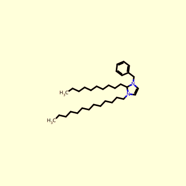 CCCCCCCCCCCCCN1C=CN(Cc2ccccc2)C1CCCCCCCCCC